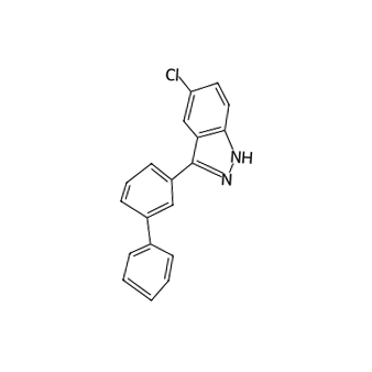 Clc1ccc2[nH]nc(-c3cccc(-c4ccccc4)c3)c2c1